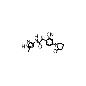 Cc1cc(NC(=O)C(C)c2ccc(N3CCCC3=O)cc2C#N)n[nH]1